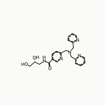 O=C(NC[C@@H](O)CO)c1ccc(CN(Cc2ccccn2)Cc2ccccn2)nc1